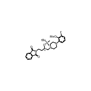 COc1c(F)cccc1N1CCN(C[C@@H](CCN2C(=O)c3ccccc3C2=O)O[Si](C)(C)C(C)(C)C)CC1